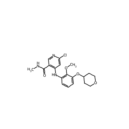 CNC(=O)c1cnc(Cl)cc1Nc1cccc(OC2CCOCC2)c1OC